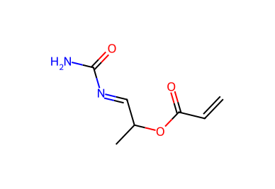 C=CC(=O)OC(C)C=NC(N)=O